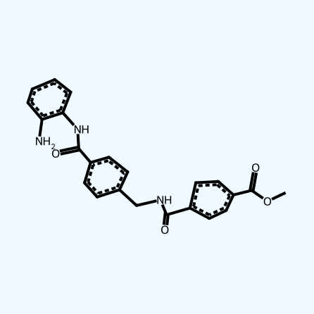 COC(=O)c1ccc(C(=O)NCc2ccc(C(=O)Nc3ccccc3N)cc2)cc1